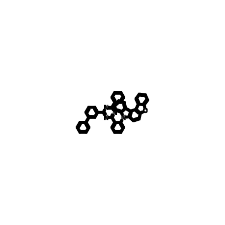 c1ccc(-c2cccc(-c3nc(-c4ccccc4)nc(-c4ccccc4-n4c5ccccc5c5c6c(ccc54)oc4ccccc46)n3)c2)cc1